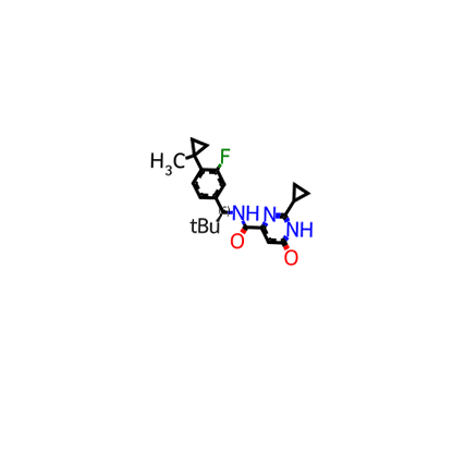 CC1(c2ccc([C@@H](NC(=O)c3cc(=O)[nH]c(C4CC4)n3)C(C)(C)C)cc2F)CC1